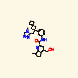 CC1CCc2c(CO)cc(C(=O)Nc3cccc(C4(Cc5nncn5C)CC5(CCC5)C4)c3)nc21